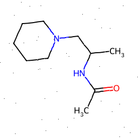 CC(=O)NC(C)CN1CCCCC1